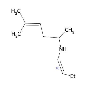 CC/C=C\NC(C)CC=C(C)C